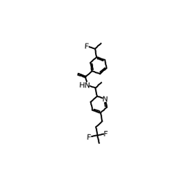 C=C(NC(C)C1CC=C(CCC(C)(F)F)C=N1)c1cccc(C(C)F)c1